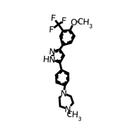 COc1ccc(-c2cc(-c3ccc(N4CCN(C)CC4)cc3)[nH]n2)cc1C(F)(F)F